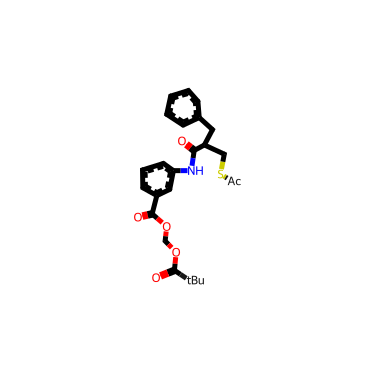 CC(=O)SCC(Cc1ccccc1)C(=O)Nc1cccc(C(=O)OCOC(=O)C(C)(C)C)c1